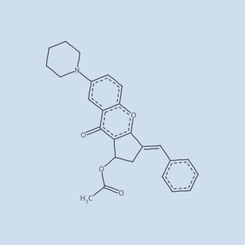 CC(=O)OC1CC(=Cc2ccccc2)c2oc3ccc(N4CCCCC4)cc3c(=O)c21